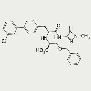 Cn1nc(NC(=O)[C@H](Cc2ccc(-c3cccc(Cl)c3)cc2)N[C@@H](COCc2ccccc2)C(=O)O)[nH]1